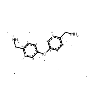 NCc1ccc(Oc2ccc(CN)nc2)cn1